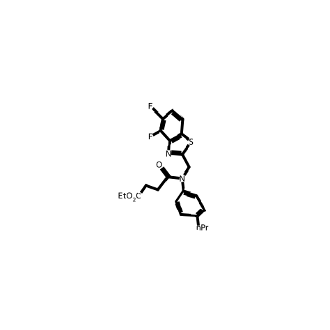 CCCc1ccc(N(Cc2nc3c(F)c(F)ccc3s2)C(=O)CCC(=O)OCC)cc1